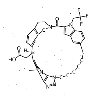 Cc1c2cnc3c1nnn3CCCCCCc1ccc3c(c1)cc(n3CC(F)(F)F)C(=O)N1CCc3ccc(cc3C1)[C@@H]2CC(=O)O